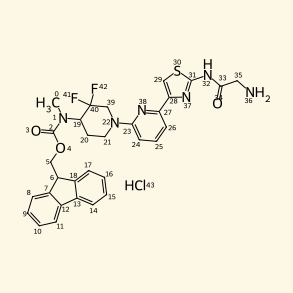 CN(C(=O)OCC1c2ccccc2-c2ccccc21)C1CCN(c2cccc(-c3csc(NC(=O)CN)n3)n2)CC1(F)F.Cl